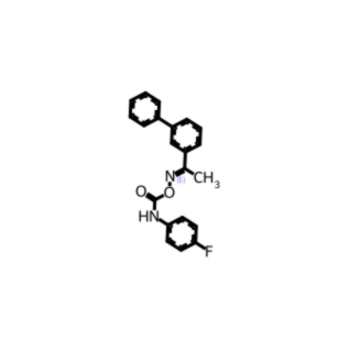 C/C(=N\OC(=O)Nc1ccc(F)cc1)c1cccc(-c2ccccc2)c1